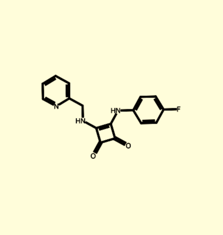 O=c1c(NCc2ccccn2)c(Nc2ccc(F)cc2)c1=O